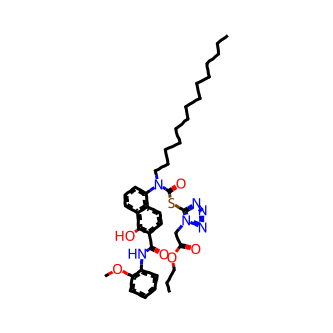 CCCCCCCCCCCCCCN(C(=O)Sc1nnnn1CC(=O)OCCC)c1cccc2c(O)c(C(=O)Nc3ccccc3OC)ccc12